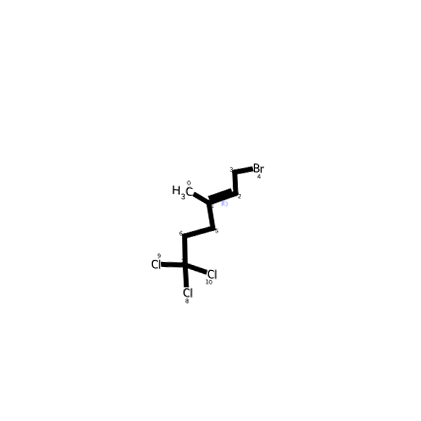 C/C(=C\CBr)CCC(Cl)(Cl)Cl